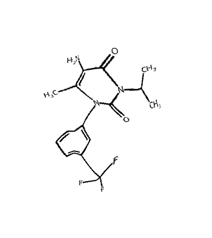 Cc1c(N)c(=O)n(C(C)C)c(=O)n1-c1cccc(C(F)(F)F)c1